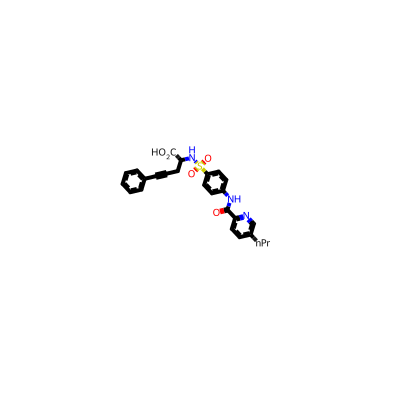 CCCc1ccc(C(=O)Nc2ccc(S(=O)(=O)NC(CC#Cc3ccccc3)C(=O)O)cc2)nc1